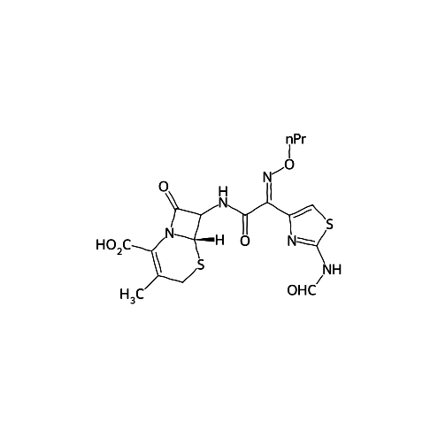 CCCON=C(C(=O)NC1C(=O)N2C(C(=O)O)=C(C)CS[C@@H]12)c1csc(NC=O)n1